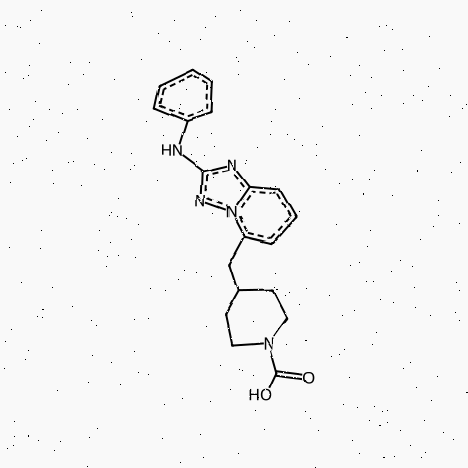 O=C(O)N1CCC(Cc2cccc3nc(Nc4ccccc4)nn23)CC1